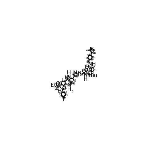 CCS(=O)(=O)Nc1ccc(-c2n[nH]c3c(-c4cnn(CCC(=O)N[C@H](C(=O)N5CCC[C@H]5C(=O)NCc5ccc(-c6scnc6C)cc5)C(C)(C)C)c4)cnc(N)c23)cc1OCc1ccc(F)cc1